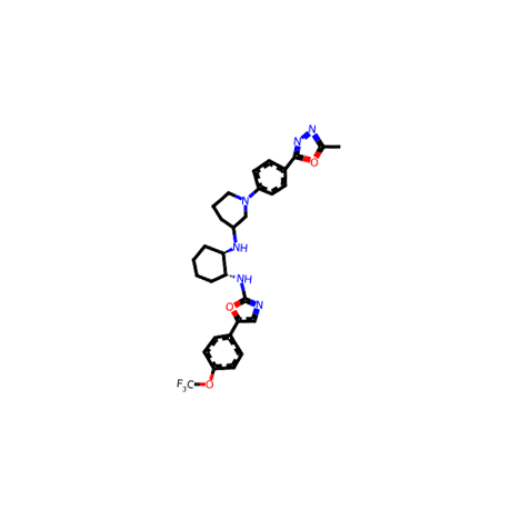 Cc1nnc(-c2ccc(N3CCCC(N[C@@H]4CCCC[C@H]4Nc4ncc(-c5ccc(OC(F)(F)F)cc5)o4)C3)cc2)o1